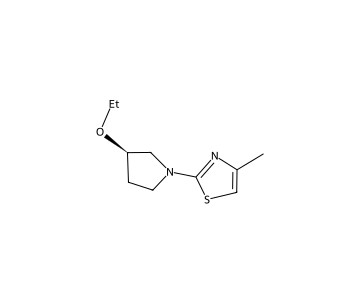 CCO[C@@H]1CCN(c2nc(C)cs2)C1